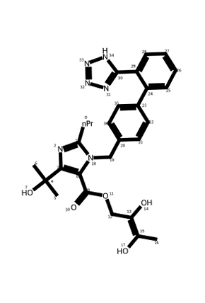 CCCc1nc(C(C)(C)O)c(C(=O)OCC(O)=C(C)O)n1Cc1ccc(-c2ccccc2-c2nnn[nH]2)cc1